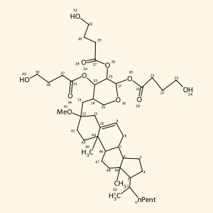 CCCCCC(C)C1CCC2C3CC=C4CC(CC5COC(OC(=O)CCCO)C(OC(=O)CCCO)C5OC(=O)CCCO)(OC)CCC4(C)C3CCC12C